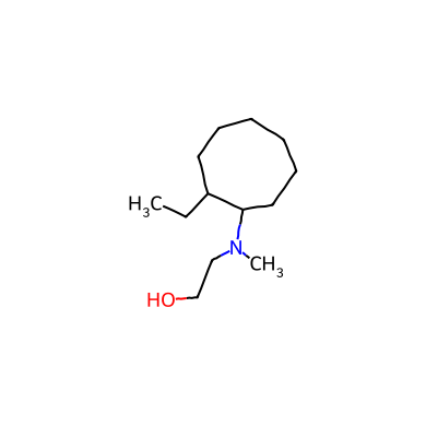 CCC1CCCCCCC1N(C)CCO